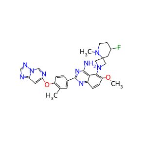 COc1ccc2nc(-c3ccc(Oc4cc5ncnn5cn4)c(C)c3)nc(N)c2c1N1CC2(CC(F)CCN2C)C1